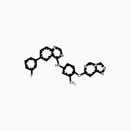 Cc1cc(Nc2ncnc3ccc(-c4cccc(F)c4)cc23)ccc1Oc1cc2nncn2cn1